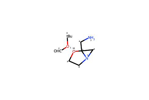 CC(C)(C)OC=O.NCC12CN1CCO2